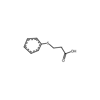 O=C(O)[CH]CSc1ccccc1